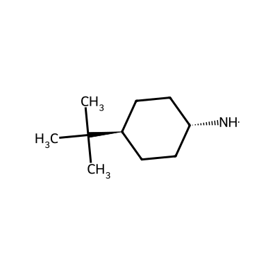 CC(C)(C)[C@H]1CC[C@H]([NH])CC1